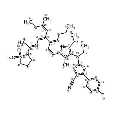 CCC\C=C(\C=C/n1nc(CC)c(N(CC)c2nc(-c3ccc(F)cc3)c(C#N)s2)c1C)C(/C=C(/C)CC)=C\N=C(/C)N1CCCS1(=O)=O